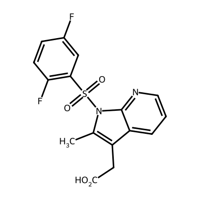 Cc1c(CC(=O)O)c2cccnc2n1S(=O)(=O)c1cc(F)ccc1F